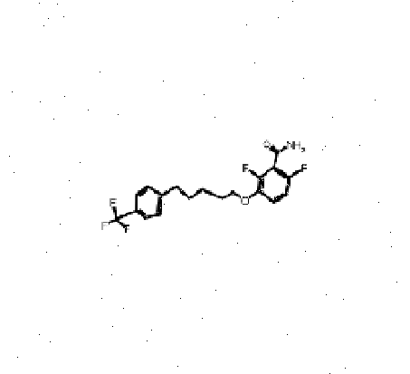 NC(=O)c1c(F)ccc(OCCCCCc2ccc(C(F)(F)F)cc2)c1F